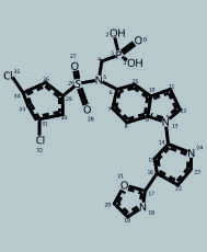 O=P(O)(O)CN(c1ccc2c(ccn2-c2cc(-c3ncco3)ccn2)c1)S(=O)(=O)c1cc(Cl)cc(Cl)c1